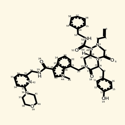 C=CCN1CC(=O)N2[C@@H](Cc3ccc(O)cc3)C(=O)N(Cc3cccc4c(C(=O)NCc5cccc(N6CCOCC6)n5)cn(C)c34)C[C@@H]2N1C(=O)NCc1ccccc1